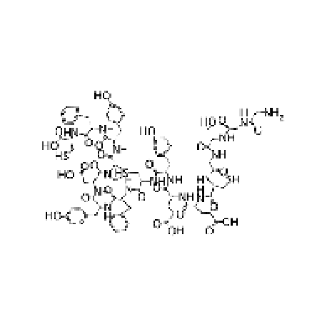 NCC(=O)NCC(=O)N[C@@H](CO)C(=O)NCC(=O)N[C@@H](CS)C(=O)N[C@@H](CCC(=O)O)C(=O)N[C@@H](CCC(=O)O)C(=O)N[C@@H](Cc1ccc(O)cc1)C(=O)N[C@@H](CS)C(=O)N[C@@H](Cc1ccccc1)C(=O)N[C@@H](Cc1ccc(O)cc1)C(=O)N[C@@H](CC(=O)O)C(=O)N1CCC[C@H]1C(=O)N[C@@H](Cc1ccc(O)cc1)C(=O)N[C@@H](Cc1ccccc1)C(=O)N[C@@H](CS)C(=O)O